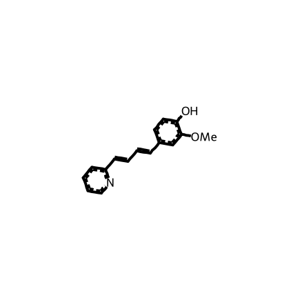 COc1cc(C=CC=Cc2ccccn2)ccc1O